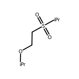 CC(C)OCCS(=O)(=O)C(C)C